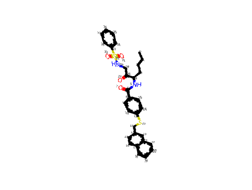 CCCCC(NC(=O)c1ccc(SCc2ccc3ccccc3c2)cc1)C(=O)CNS(=O)(=O)c1ccccc1